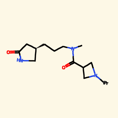 CC(C)N1CC(C(=O)N(C)CCC[C@@H]2CNC(=O)C2)C1